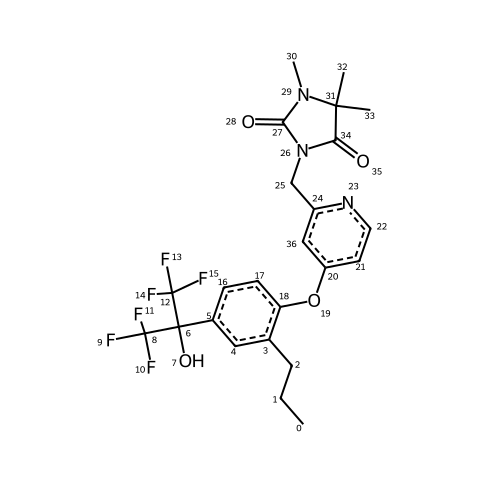 CCCc1cc(C(O)(C(F)(F)F)C(F)(F)F)ccc1Oc1ccnc(CN2C(=O)N(C)C(C)(C)C2=O)c1